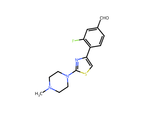 CN1CCN(c2nc(-c3ccc(C=O)cc3F)cs2)CC1